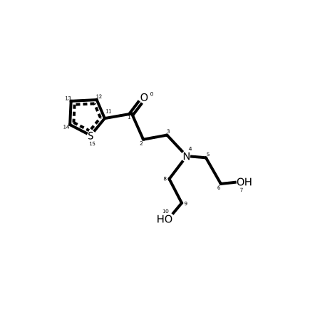 O=C(CCN(CCO)CCO)c1cccs1